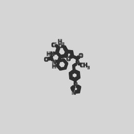 C/C=c1/cc(C(=O)N(C)Cc2ccc(-n3ccnc3)cc2)o/c1=C1/C(=C/Cl)NC(=O)NC12CCCCC2